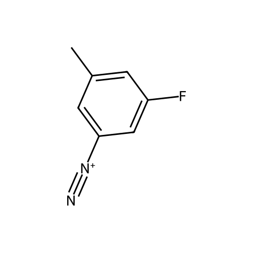 Cc1cc(F)cc([N+]#N)c1